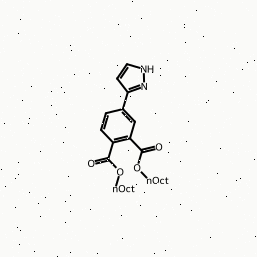 CCCCCCCCOC(=O)c1ccc(-c2cc[nH]n2)cc1C(=O)OCCCCCCCC